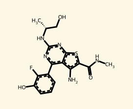 CNC(=O)c1sc2nc(N[C@H](C)CO)nc(-c3cccc(O)c3F)c2c1N